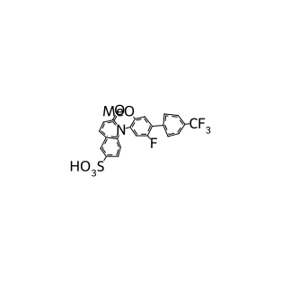 COc1cc(-c2ccc(C(F)(F)F)cc2)c(F)cc1-n1c(=O)ccc2cc(S(=O)(=O)O)ccc21